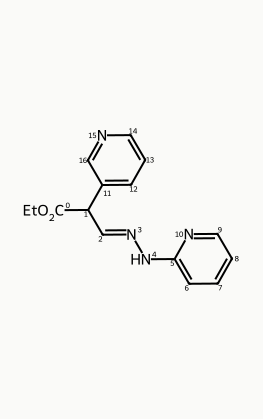 CCOC(=O)C(C=NNc1ccccn1)c1cccnc1